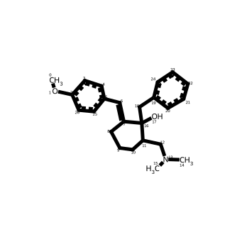 COc1ccc(/C=C2\CCCC(CN(C)C)C2(O)Cc2ccccc2)cc1